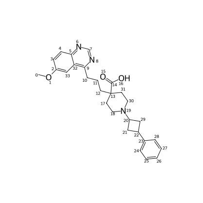 COc1ccc2ncnc(CCCC3(C(=O)O)CCN(C4CC(c5ccccc5)C4)CC3)c2c1